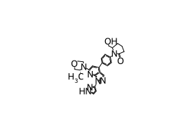 C[C@@H]1COCCN1c1cc(-c2ccc(N3C(=O)CCCC3CO)cc2)c2cnn(-c3cc[nH]n3)c2n1